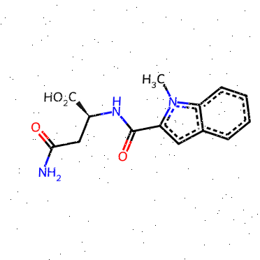 Cn1c(C(=O)N[C@@H](CC(N)=O)C(=O)O)cc2ccccc21